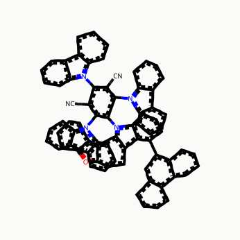 N#Cc1c(-n2c3ccccc3c3ccccc32)c(C#N)c(-n2c3ccccc3c3ccccc32)c(-n2c3cccc(-c4cc5ccccc5c5ccccc45)c3c3ccc4oc5ccccc5c4c32)c1-n1c2ccccc2c2ccccc21